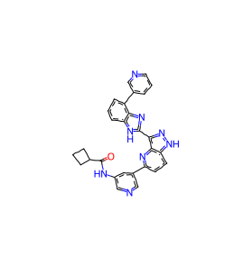 O=C(Nc1cncc(-c2ccc3[nH]nc(-c4nc5c(-c6cccnc6)cccc5[nH]4)c3n2)c1)C1CCC1